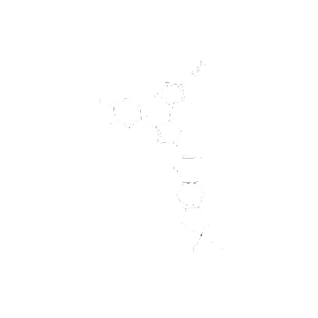 N#Cc1cnn(C2CN(C(=O)Nc3ccc(SC(F)(F)F)cc3)N=C2c2ccc(I)cc2)c1